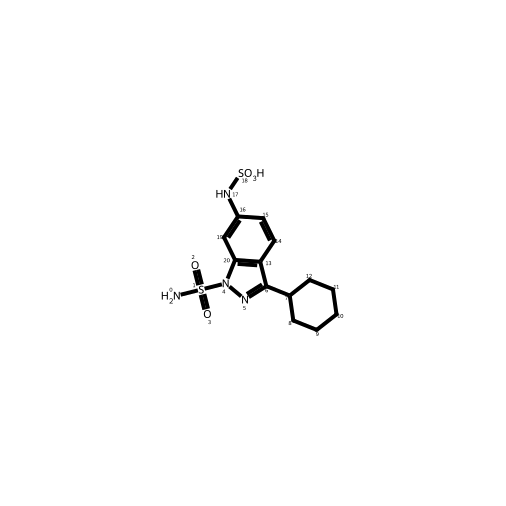 NS(=O)(=O)n1nc(C2CCCCC2)c2ccc(NS(=O)(=O)O)cc21